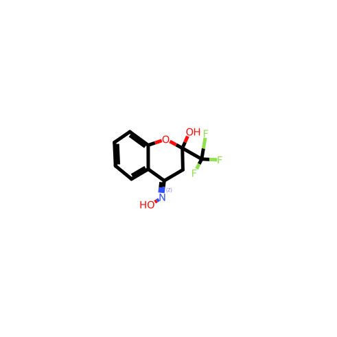 O/N=C1/CC(O)(C(F)(F)F)Oc2ccccc21